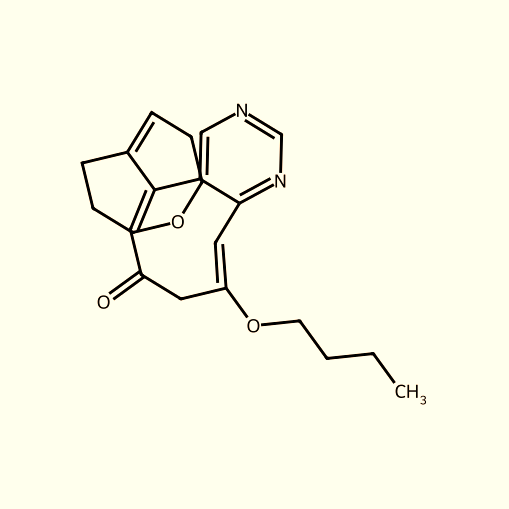 CCCCO/C1=C\c2ncncc2C(/C2=C\CCOCCC2)=C\C(=O)C1